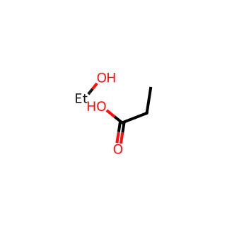 CCC(=O)O.CCO